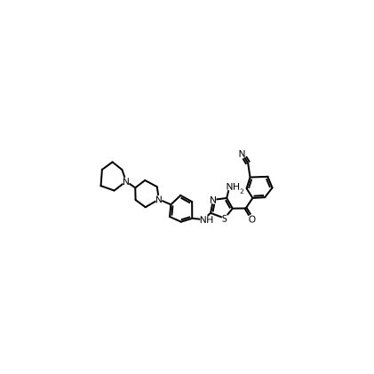 N#Cc1cccc(C(=O)c2sc(Nc3ccc(N4CCC(N5CCCCC5)CC4)cc3)nc2N)c1